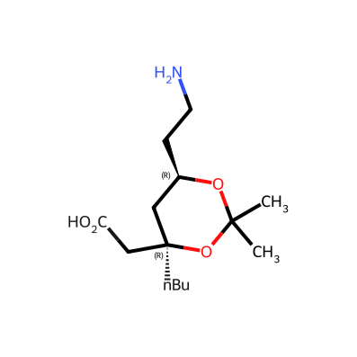 CCCC[C@]1(CC(=O)O)C[C@@H](CCN)OC(C)(C)O1